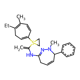 C=C(NC1=NN(C)C(c2ccccc2)C=CC1)S1(C2=CCC(CC)=C(C)C=C2)CC1